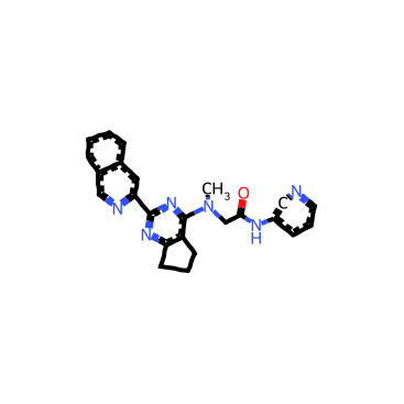 CN(CC(=O)Nc1cccnc1)c1nc(-c2cc3ccccc3cn2)nc2c1CCC2